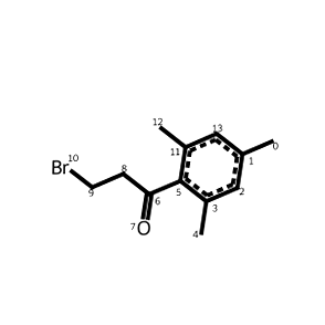 Cc1cc(C)c(C(=O)CCBr)c(C)c1